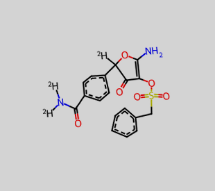 [2H]N([2H])C(=O)c1ccc(C2([2H])OC(N)=C(OS(=O)(=O)Cc3ccccc3)C2=O)cc1